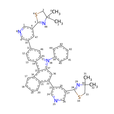 CC1(C)CSC(c2cncc(-c3ccc4c5c6ccccc6c(-c6cncc(C7=NC(C)(C)CS7)c6)cc5n(-c5ccccc5)c4c3)c2)=N1